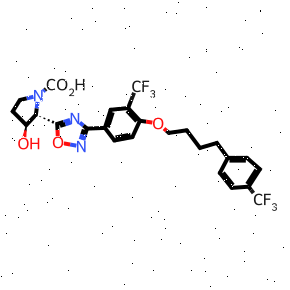 O=C(O)N1CC[C@H](O)[C@H]1c1nc(-c2ccc(OCCCCc3ccc(C(F)(F)F)cc3)c(C(F)(F)F)c2)no1